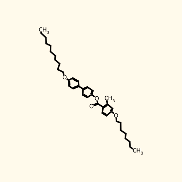 CCCCCCCCCCCOc1ccc(-c2ccc(OC(=O)c3ccc(OCCCCCCCC)cc3C)cc2)cc1